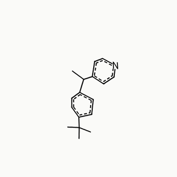 CC(c1ccncc1)c1ccc(C(C)(C)C)cc1